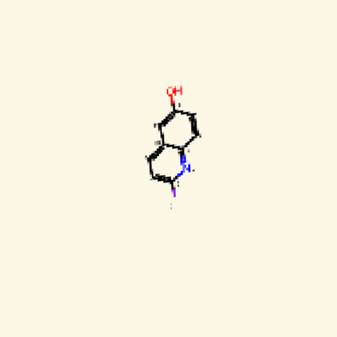 Oc1ccc2nc(I)ccc2c1